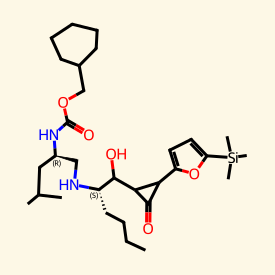 CCCC[C@H](NC[C@@H](CC(C)C)NC(=O)OCC1CCCCC1)C(O)C1C(=O)C1c1ccc([Si](C)(C)C)o1